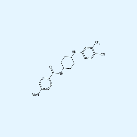 CNc1ccc(C(=O)NC2CCC(Nc3ccc(C#N)c(C(F)(F)F)c3)CC2)cc1